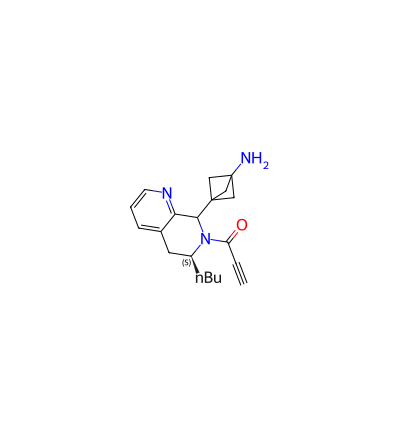 C#CC(=O)N1C(C23CC(N)(C2)C3)c2ncccc2C[C@@H]1CCCC